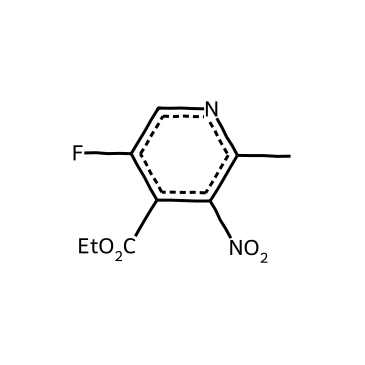 CCOC(=O)c1c(F)cnc(C)c1[N+](=O)[O-]